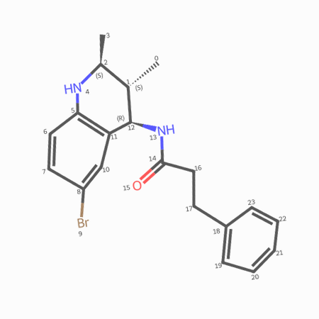 C[C@H]1[C@H](C)Nc2ccc(Br)cc2[C@@H]1NC(=O)CCc1ccccc1